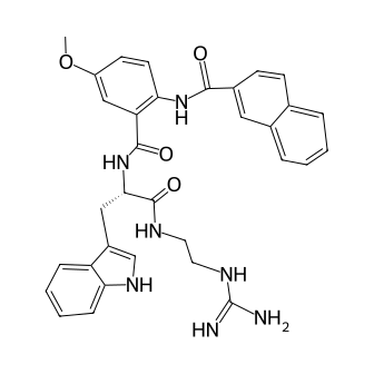 COc1ccc(NC(=O)c2ccc3ccccc3c2)c(C(=O)N[C@@H](Cc2c[nH]c3ccccc23)C(=O)NCCNC(=N)N)c1